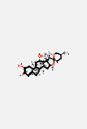 C[C@@H]1CC[C@@]2(OC1)O[C@H]1C[C@H]3C4=CCC5=CC(=O)[C@@H](O)C[C@]5(C)[C@H]4C[C@H](O)[C@]3(C)[C@H]1[C@@H]2C